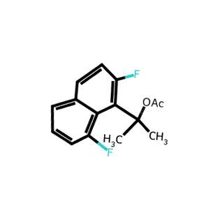 CC(=O)OC(C)(C)c1c(F)ccc2cccc(F)c12